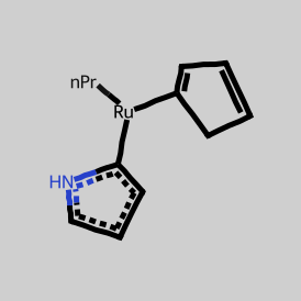 CC[CH2][Ru]([C]1=CC=CC1)[c]1ccc[nH]1